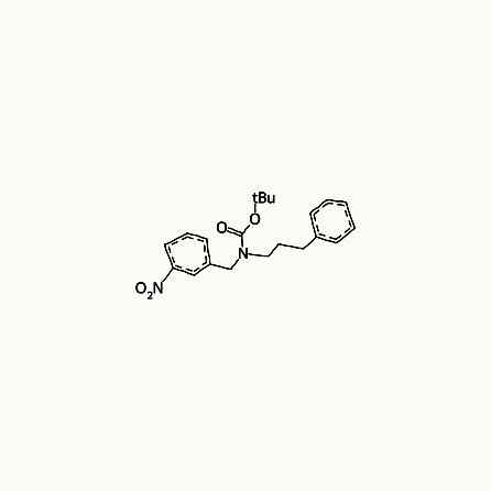 CC(C)(C)OC(=O)N(CCCc1ccccc1)Cc1cccc([N+](=O)[O-])c1